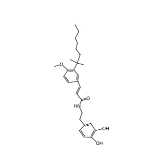 CCCCCCC(C)(C)c1cc(C=CC(=O)NCCc2ccc(O)c(O)c2)ccc1OC